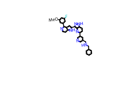 COc1cc(F)cc(-c2nccc3[nH]c(-c4n[nH]c5ccc(-c6cncc(CNCc7ccccc7)c6)nc45)cc23)c1